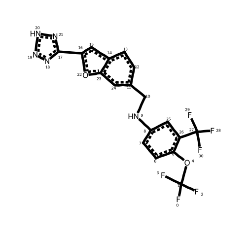 FC(F)(F)Oc1ccc(NCc2ccc3cc(-c4nn[nH]n4)oc3c2)cc1C(F)(F)F